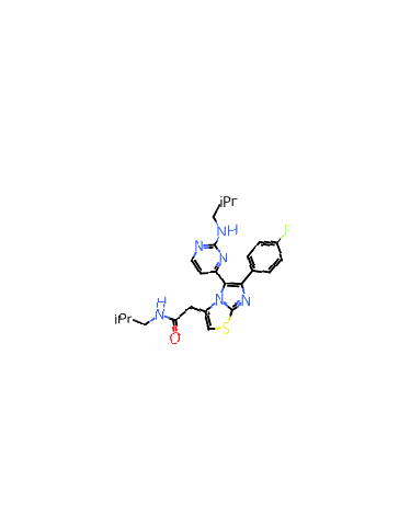 CC(C)CNC(=O)Cc1csc2nc(-c3ccc(F)cc3)c(-c3ccnc(NCC(C)C)n3)n12